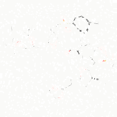 C=C(C(=O)C[C@@H]1O[C@H](CC(CO[Si](C)(C)C(C)(C)C)O[Si](C)(C)C(C)(C)C)C[C@H]1CS(=O)(=O)c1ccc(CC)cc1)C(C)C[C@@H](CC[C@@H]1O[C@@H](CCC2OCCO2)CC1=C)OS(C)(=O)=O